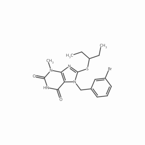 CCC(CC)Sc1nc2c(c(=O)[nH]c(=O)n2C)n1Cc1cccc(Br)c1